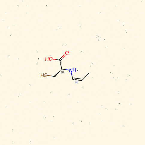 C/C=C\N[C@@H](CS)C(=O)O